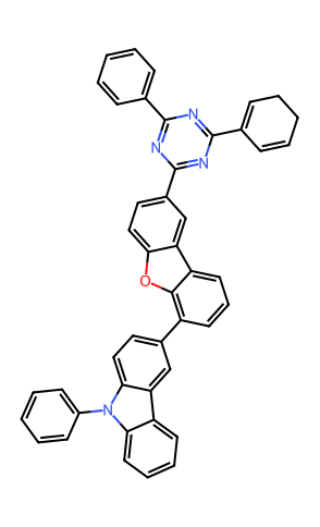 C1=CC(c2nc(-c3ccccc3)nc(-c3ccc4oc5c(-c6ccc7c(c6)c6ccccc6n7-c6ccccc6)cccc5c4c3)n2)=CCC1